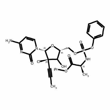 CC#C[C@@]1(Cl)C(O)[C@@H](COP(=O)(N[C@@H](C)C(=O)OC(C)C)Oc2ccccc2)O[C@H]1n1ccc(N)nc1=O